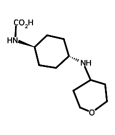 O=C(O)N[C@H]1CC[C@H](NC2CCOCC2)CC1